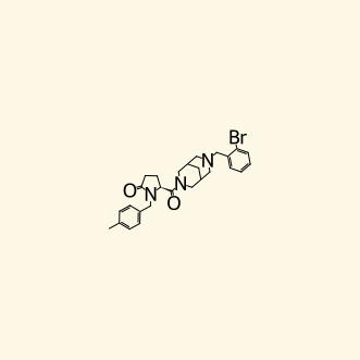 Cc1ccc(CN2C(=O)CC[C@H]2C(=O)N2CC3CC(CN(Cc4ccccc4Br)C3)C2)cc1